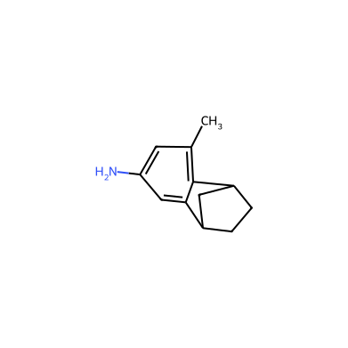 Cc1cc(N)cc2c1C1CCC2C1